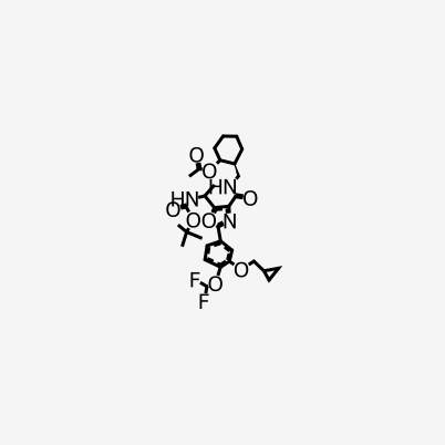 CC(=O)OC1CCCC[C@H]1CNC(=O)c1nc(-c2ccc(OC(F)F)c(OCC3CC3)c2)oc1C(C)NC(=O)OC(C)(C)C